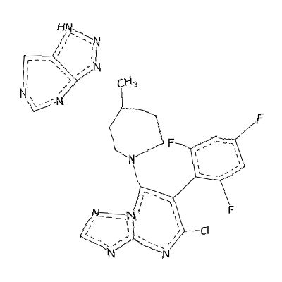 CC1CCN(c2c(-c3c(F)cc(F)cc3F)c(Cl)nc3ncnn23)CC1.c1ncc2[nH]nnc2n1